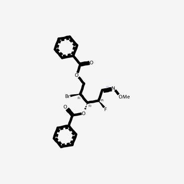 CO/N=C\[C@@H](F)[C@H](OC(=O)c1ccccc1)[C@@H](Br)COC(=O)c1ccccc1